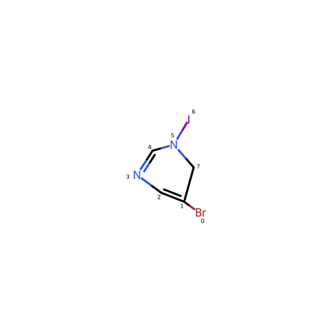 BrC1=CN=CN(I)C1